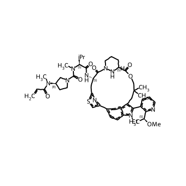 C=CC(=O)N(C)[C@@H]1CCN(C(=O)N(C)[C@H](C(=O)N[C@H]2Cc3nc(cs3)-c3ccc4c(c3)c(c(-c3cccnc3[C@H](C)OC)n4CC)CC(C)(C)COC(=O)[C@@H]3CCCN(N3)C2=O)C(C)C)C1